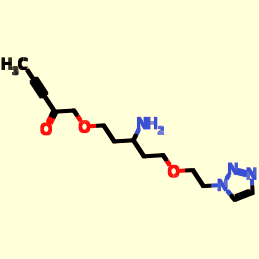 CC#CC(=O)COCCC(N)CCOCCn1ccnn1